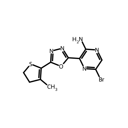 CC1=C(c2nnc(-c3nc(Br)cnc3N)o2)SCC1